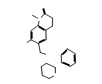 COc1cc2c(cc1CN[C@H]1CCCN[C@H]1c1ccccc1)CCC(=S)N2C.Cl.Cl